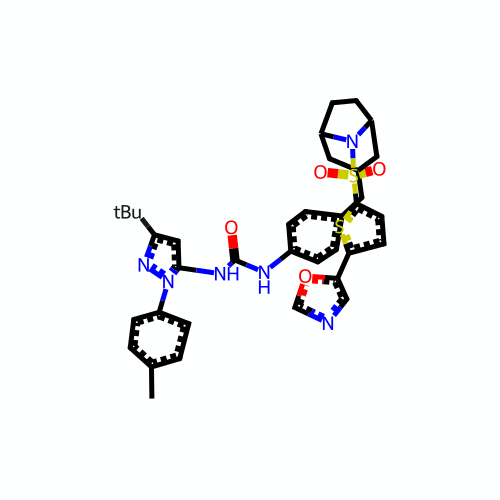 Cc1ccc(-n2nc(C(C)(C)C)cc2NC(=O)Nc2ccc(CC3CC4CCC(C3)N4S(=O)(=O)c3ccc(-c4cnco4)s3)cc2)cc1